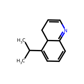 CC(C)C1=CC=CC2=NC=CCC12